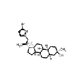 C=C(Cn1ccc(C(C)=O)n1)[C@H]1CC[C@H]2[C@@H]3CC[C@H]4C[C@](C)(O)CC[C@@H]4[C@H]3CC[C@]12C